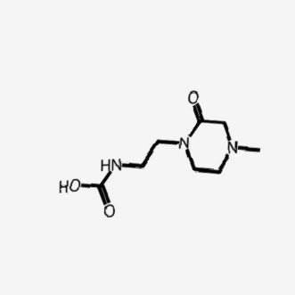 CN1CCN(CCNC(=O)O)C(=O)C1